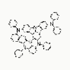 c1ccc(N(c2ccccc2)c2ccc3c(c2)c2cc4c(c5c6cc(N(c7ccccc7)c7ccccc7)ccc6n3c25)B2c3ccccc3N(c3ccccc3)c3cccc(c32)N4c2ccccc2)cc1